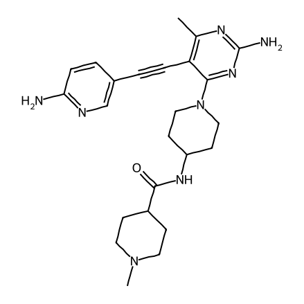 Cc1nc(N)nc(N2CCC(NC(=O)C3CCN(C)CC3)CC2)c1C#Cc1ccc(N)nc1